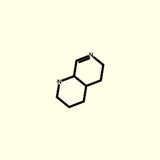 C1=NCCC2CCC[N]C12